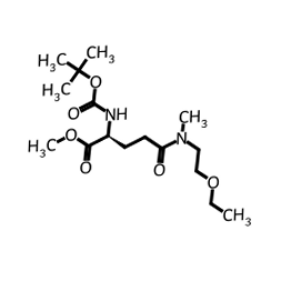 CCOCCN(C)C(=O)CC[C@H](NC(=O)OC(C)(C)C)C(=O)OC